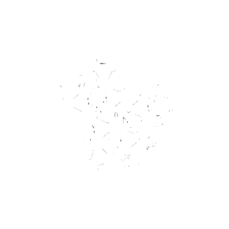 Cc1cc2c(cc1N1c3cc4oc5ccccc5c4c4c3B(c3ccc5c(oc6ccccc65)c31)N(c1ccc3c(c1)C(C)(C)CCC3(C)C)c1cc3c(cc1-4)C(C)(C)CCC3(C)C)C(C)(C)CCC2